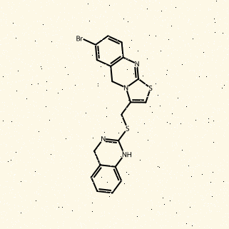 Brc1ccc2c(c1)CN1C(CSC3=NCc4ccccc4N3)=CSC1=N2